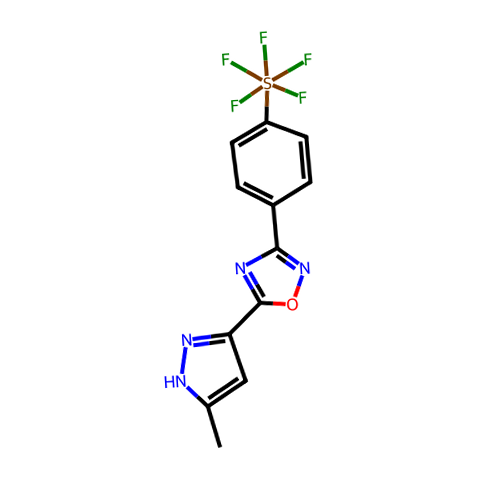 Cc1cc(-c2nc(-c3ccc(S(F)(F)(F)(F)F)cc3)no2)n[nH]1